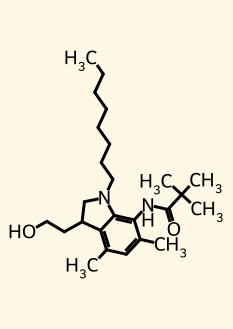 CCCCCCCCN1CC(CCO)c2c(C)cc(C)c(NC(=O)C(C)(C)C)c21